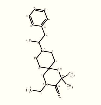 CCN1CC2(CCN(C(F)Cc3ccccc3)CC2)OC(C)(C)C1=O